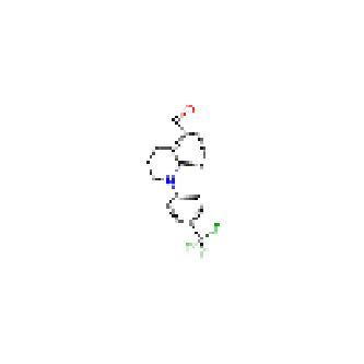 O=Cc1cccc2c1C[CH]CN2c1ccc(C(F)(F)F)cc1